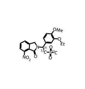 CCOc1cc([C@@H]([13CH2]S([13CH3])(=O)=O)N2Cc3cccc([N+](=O)[O-])c3C2=O)ccc1OC